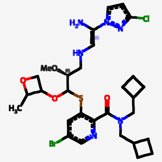 CO[C@@H](CN/C=C(\N)n1ccc(Cl)n1)C(OC1COC1C)Sc1cc(Br)cnc1C(=O)N(CC1CCC1)CC1CCC1